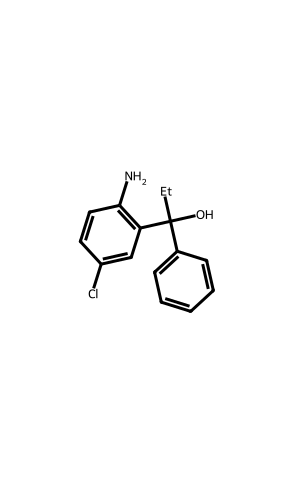 CCC(O)(c1ccccc1)c1cc(Cl)ccc1N